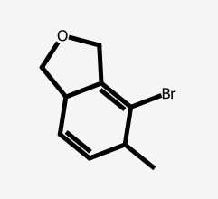 CC1C=CC2COCC2=C1Br